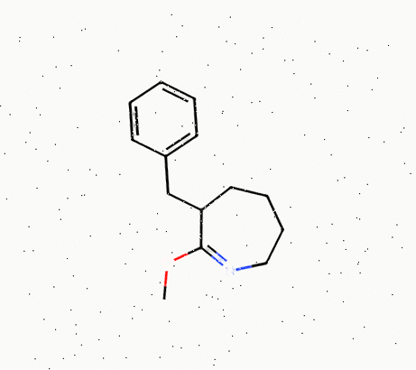 COC1=NCCCCC1Cc1ccccc1